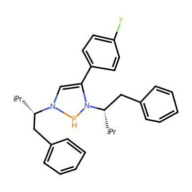 CC(C)[C@@H](Cc1ccccc1)N1C=C(c2ccc(F)cc2)N([C@H](Cc2ccccc2)C(C)C)P1